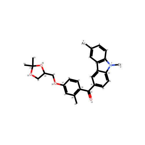 CCn1c2ccc(C(C)=O)cc2c2cc(C(=O)c3ccc(OCC4COC(C)(C)O4)cc3C)ccc21